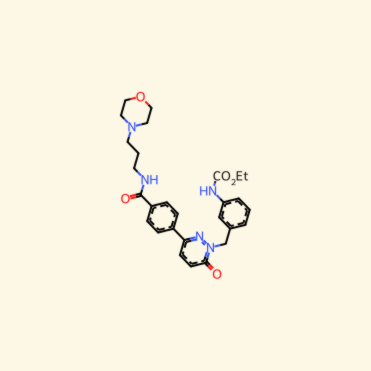 CCOC(=O)Nc1cccc(Cn2nc(-c3ccc(C(=O)NCCCN4CCOCC4)cc3)ccc2=O)c1